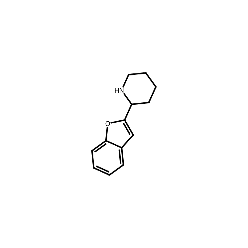 c1ccc2oc(C3CCCCN3)cc2c1